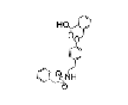 O=C(O)c1ccccc1COc1ccc(CCNS(=O)(=O)Cc2ccccc2)cc1